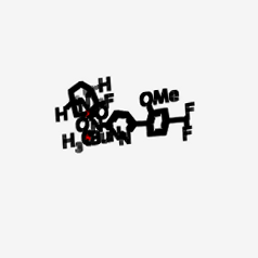 COc1cc(C(F)F)ccc1-c1ccc(N(C)[C@H]2C[C@@H]3CC[C@@H]([C@H]2F)N3C(=O)OC(C)(C)C)nn1